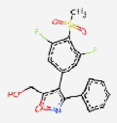 CS(=O)(=O)c1c(F)cc(-c2c(-c3ccccc3)noc2CO)cc1F